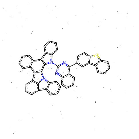 c1ccc2c(-c3ccc4sc5ccccc5c4c3)nc(-n3c4ccccc4c4c5ccccc5c5c6cccc7c8ccccc8n(c76)c5c43)nc2c1